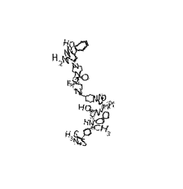 Cc1ncsc1-c1ccc([C@H](C)NC(=O)[C@@H]2C[C@@H](O)CN2C(=O)[C@@H](c2cc(N3CCC(CN4CC[C@@H](OC(=O)N5CCN(c6cc(-c7ccccc7O)nnc6N)CC5)[C@H](F)C4)CC3)no2)C(C)C)cc1